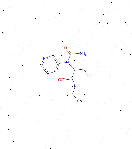 CC(C)CC(C(=O)NCC#N)N(C(N)=O)c1cccnc1